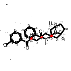 O=C(CNC(=O)c1cccc(Cl)c1)N[C@H]1C[C@H]2CC[C@@H](C1)N2CCCc1ccccc1